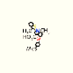 CSc1ccc(COc2ccc(C)c3nc(-c4sc5ccccc5c4C)cc(C(=O)O)c23)cc1